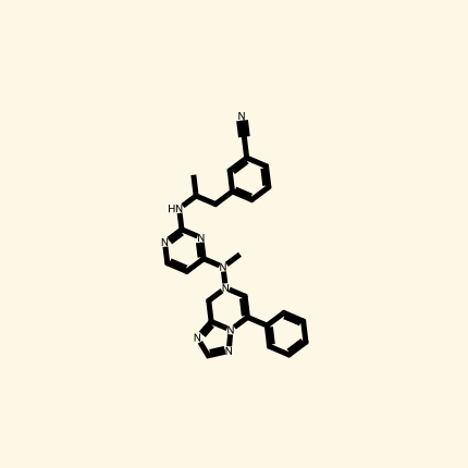 CC(Cc1cccc(C#N)c1)Nc1nccc(N(C)N2C=C(c3ccccc3)n3ncnc3C2)n1